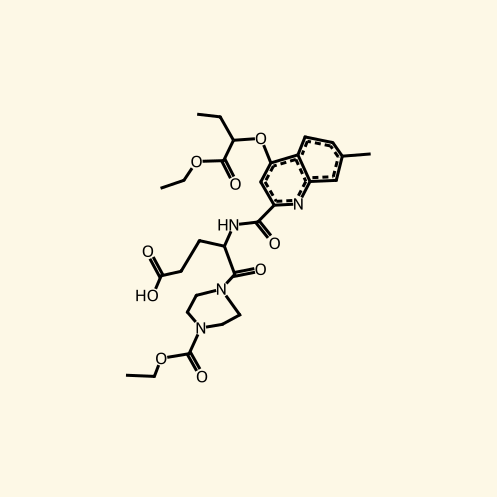 CCOC(=O)C(CC)Oc1cc(C(=O)NC(CCC(=O)O)C(=O)N2CCN(C(=O)OCC)CC2)nc2cc(C)ccc12